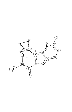 CN(C)C(=O)c1cc2cnc(Cl)nc2n1C12CC(C1)C2